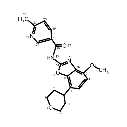 COc1ccc(C2CCOCC2)c2oc(NC(=O)c3ccc(C)nc3)nc12